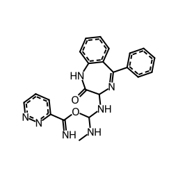 CNC(NC1N=C(c2ccccc2)c2ccccc2NC1=O)OC(=N)c1cccnn1